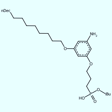 CCCCCCCCCCCCCCCCCCOc1cc(N)cc(OCCCP(=O)(O)OC(C)CC)c1